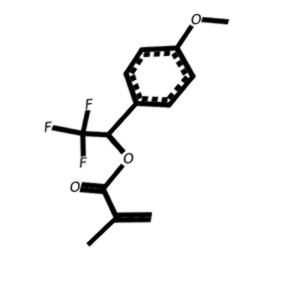 C=C(C)C(=O)OC(c1ccc(OC)cc1)C(F)(F)F